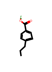 CCCc1ccc(C(=O)OF)cc1